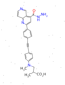 CC(CN(C)c1ccc(C#Cc2ccc(-c3cc(C(=O)NN)c4cnccc4n3)cc2)cc1)C(=O)O